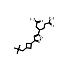 CC(C)(C)CC1CC(c2cc(C(CCC(=O)O)CC(=O)O)on2)C1